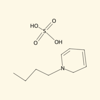 CCCCN1C=CC=CC1.O=S(=O)(O)O